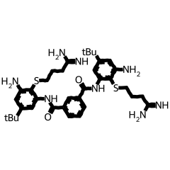 CC(C)(C)c1cc(N)c(SCCCC(=N)N)c(NC(=O)c2cccc(C(=O)Nc3cc(C(C)(C)C)cc(N)c3SCCCC(=N)N)c2)c1